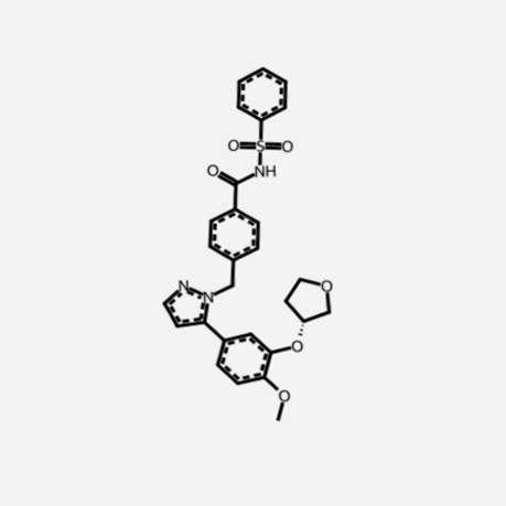 COc1ccc(-c2ccnn2Cc2ccc(C(=O)NS(=O)(=O)c3ccccc3)cc2)cc1O[C@@H]1CCOC1